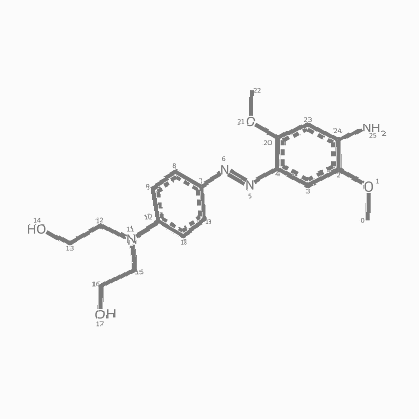 COc1cc(/N=N/c2ccc(N(CCO)CCO)cc2)c(OC)cc1N